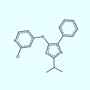 CC(C)c1nc(-c2ccccc2)c(Oc2ccnc(Cl)c2)s1